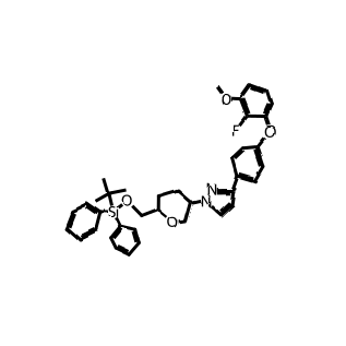 COc1cccc(Oc2ccc(-c3ccn(C4CCC(CO[Si](c5ccccc5)(c5ccccc5)C(C)(C)C)OC4)n3)cc2)c1F